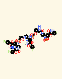 CNC(=O)c1c(-c2ccc(F)cc2)oc2cc(N(C)S(C)(=O)=O)c([C@@H]3CCCN(C(=O)c4cc5c(OCCS(=O)(=O)N(C)c6cc7oc(-c8ccc(F)cc8)c(C(=O)NC)c7cc6[C@@H]6CCCN(C(=O)/C=C(/C)CCS(=O)(=O)N(C)c7cc8oc(-c9ccc(F)cc9)c(C(=O)NC)c8cc7[C@@H]7CCCN(C(=O)c8oc9ccc(F)cc9c8C)C7)C6)cccc5[nH]4)C3)cc12